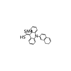 CSC(S)=C1c2ccccc2N(c2ccc3c(c2)CCC=C3)c2ccccc21